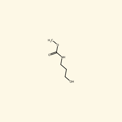 COC(=O)NCCCO